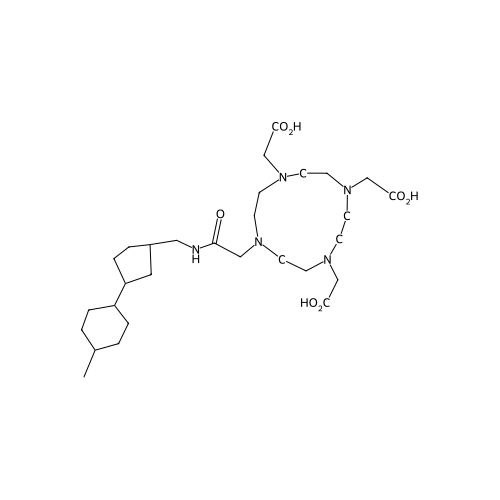 CC1CCC(C2CCC(CNC(=O)CN3CCN(CC(=O)O)CCN(CC(=O)O)CCN(CC(=O)O)CC3)C2)CC1